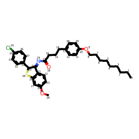 CCCCCCCCCOc1ccc(CCCC(=O)N=C2c3ccc(OC)cc3SC2c2ccc(Cl)cc2)cc1